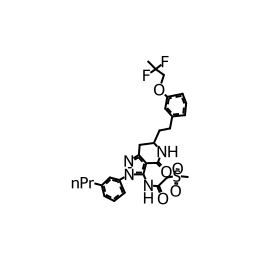 CCCc1cccc(-n2nc3c(c2NC(=O)CS(C)(=O)=O)C(=O)NC(CCc2cccc(OCC(C)(F)F)c2)C3)c1